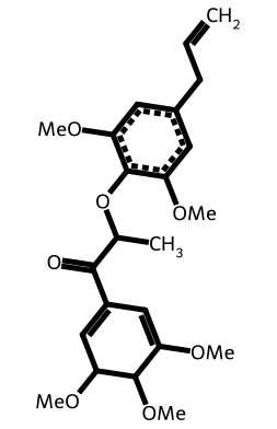 C=CCc1cc(OC)c(OC(C)C(=O)C2=CC(OC)C(OC)C(OC)=C2)c(OC)c1